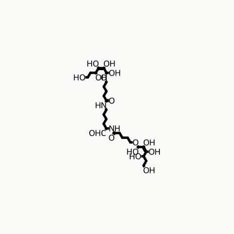 O=CC(CCCCNC(=O)CCCCOC(O)/C(O)=C(/O)C(O)CCO)NC(=O)CCCCOC(O)/C(O)=C(/O)C(O)CCO